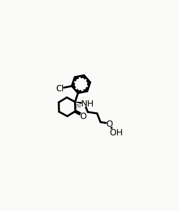 O=C1CCCC[C@]1(NCCCOO)c1ccccc1Cl